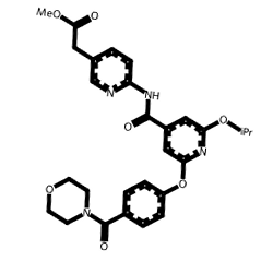 COC(=O)Cc1ccc(NC(=O)c2cc(Oc3ccc(C(=O)N4CCOCC4)cc3)nc(OC(C)C)c2)nc1